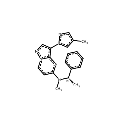 Cc1cnn(-c2cnn3ccc(N(C)[C@H](C)c4ccccc4)nc23)c1